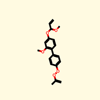 C=CC(OC)Oc1ccc(-c2ccc(OOC(=C)C)cc2)c(OC)c1